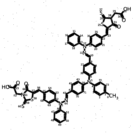 Cc1ccc(N(c2ccc(/C=N/N(c3ccccc3)c3ccc(/C=C4\SC(=S)C(CC(=O)O)C4=O)cc3)cc2)c2ccc(/C=N/N(c3ccccc3)c3ccc(/C=C4\SC(=S)N(CC(=O)O)C4=O)cc3)cc2)cc1